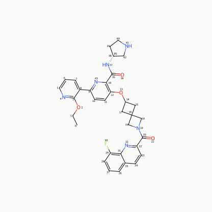 CCOc1ncccc1-c1ccc(OC2CC3(C2)CN(C(=O)c2ccc4cccc(F)c4n2)C3)c(C(=O)N[C@@H]2CCNC2)n1